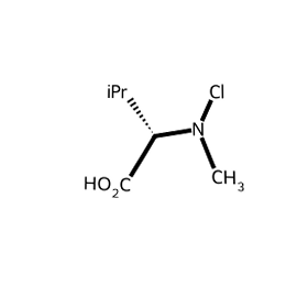 CC(C)[C@@H](C(=O)O)N(C)Cl